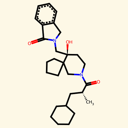 C[C@H](CC1CCCCC1)C(=O)N1CC[C@@](O)(CN2Cc3ccccc3C2=O)C2(CCCC2)C1